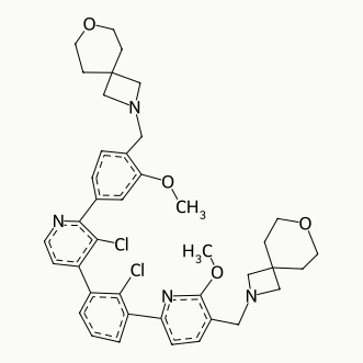 COc1cc(-c2nccc(-c3cccc(-c4ccc(CN5CC6(CCOCC6)C5)c(OC)n4)c3Cl)c2Cl)ccc1CN1CC2(CCOCC2)C1